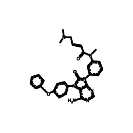 CN(C)CC=CC(=O)N(C)c1cccc(-n2c(=O)n(-c3ccc(Oc4ccccc4)cc3)c3c(N)ncnc32)c1